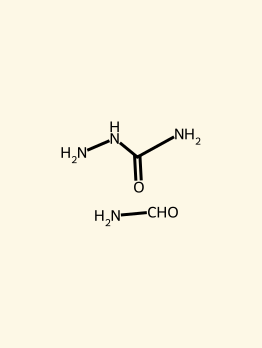 NC=O.NNC(N)=O